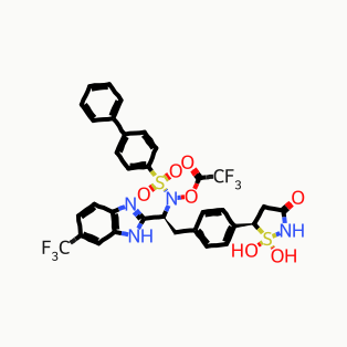 O=C1C[C@H](c2ccc(C[C@@H](c3nc4ccc(C(F)(F)F)cc4[nH]3)N(OC(=O)C(F)(F)F)S(=O)(=O)c3ccc(-c4ccccc4)cc3)cc2)S(O)(O)N1